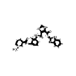 CN1CCCC(C(=O)Nc2cccc(NC(=O)c3nc[nH]c3C(=O)Nc3nc4ccccc4[nH]3)c2F)C1